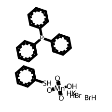 Br.Br.Sc1ccccc1.[KH].[O]=[Mn](=[O])(=[O])[OH].c1ccc(P(c2ccccc2)c2ccccc2)cc1